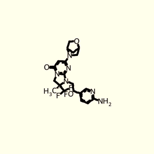 C[C@@]1(C(F)(F)F)Cn2c(nc(N3CC4CC3CO4)cc2=O)N1CC(=O)c1ccc(N)nc1